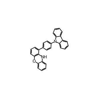 c1ccc2c(c1)Nc1c(cccc1-c1ccc(-n3c4ccccc4c4ccccc43)cc1)O2